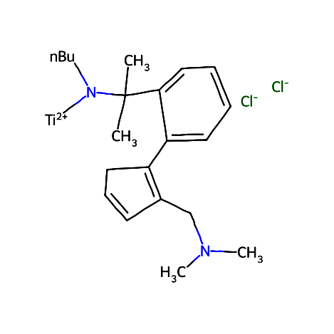 CCCC[N]([Ti+2])C(C)(C)c1ccccc1C1=C(CN(C)C)C=CC1.[Cl-].[Cl-]